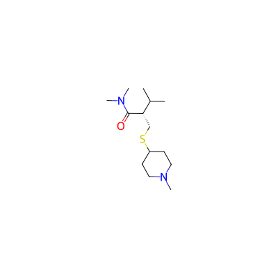 CC(C)[C@H](CSC1CCN(C)CC1)C(=O)N(C)C